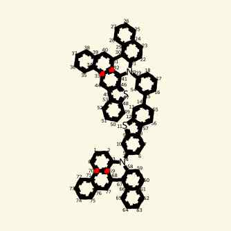 c1ccc(N(c2ccc3c(c2)sc2cc(-c4cccc(N(c5ccc6ccccc6c5-c5ccc6ccccc6c5)c5cccc6c5sc5ccccc56)c4)ccc23)c2ccc3ccccc3c2-c2ccc3ccccc3c2)cc1